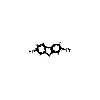 CCc1ccc2c(c1)Cc1cc(C(C)C)ccc1-2